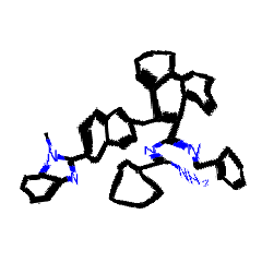 Cn1c(-c2ccc3cc(-c4c(C(/N=C(\N)c5ccccc5)=N/Cc5ccccc5)c5ccccc5c5ccccc45)ccc3c2)nc2ccccc21